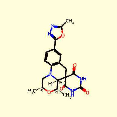 Cc1nnc(-c2ccc3c(c2)CC2(C(=O)NC(=O)NC2=O)[C@H]2[C@H](C)O[C@H](C)CN32)o1